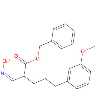 COc1cccc(CCCC(/C=N\O)C(=O)OCc2ccccc2)c1